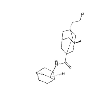 C[C@]12CC3CC(C(=O)N[C@@H]4CN5CCC4CC5)(C1)C[C@@](CCCl)(C3)C2